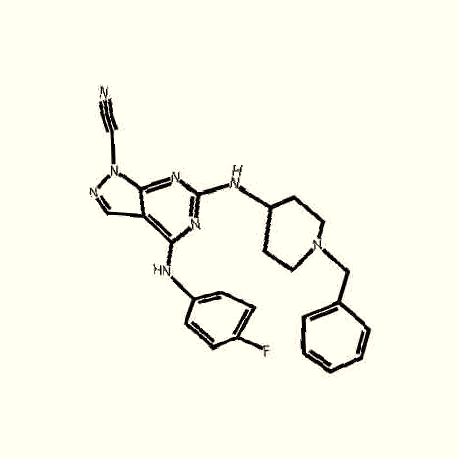 N#Cn1ncc2c(Nc3ccc(F)cc3)nc(NC3CCN(Cc4ccccc4)CC3)nc21